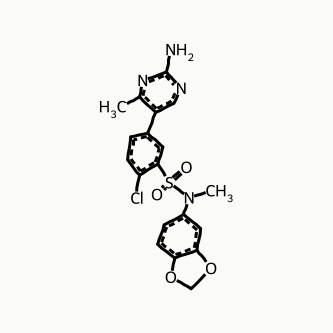 Cc1nc(N)ncc1-c1ccc(Cl)c(S(=O)(=O)N(C)c2ccc3c(c2)OCO3)c1